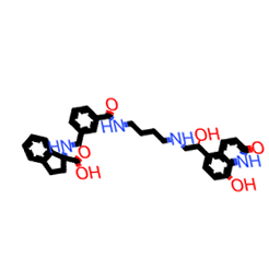 O=C(NCCCCNC[C@H](O)c1ccc(O)c2[nH]c(=O)ccc12)c1cccc(CNC2(C(=O)O)CCc3ccccc32)c1